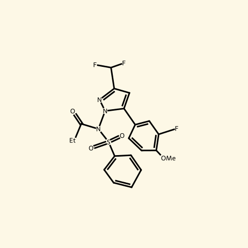 CCC(=O)N(n1nc(C(F)F)cc1-c1ccc(OC)c(F)c1)S(=O)(=O)c1ccccc1